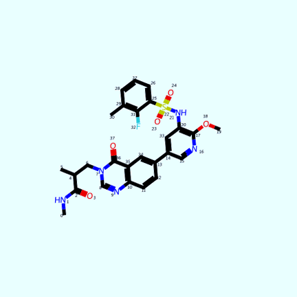 CNC(=O)C(C)Cn1cnc2ccc(-c3cnc(OC)c(NS(=O)(=O)c4cccc(C)c4F)c3)cc2c1=O